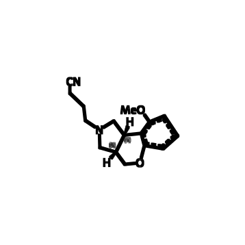 COc1cccc2c1[C@H]1CN(CCCC#N)C[C@H]1CO2